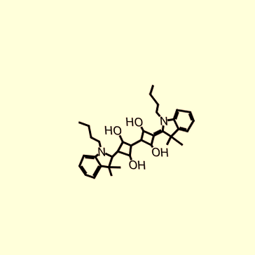 CCCCN1C(=C2C(O)C(C3C(O)C(C4N(CCCC)c5ccccc5C4(C)C)C3O)C2O)C(C)(C)c2ccccc21